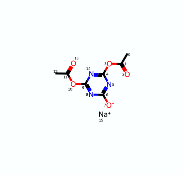 CC(=O)Oc1nc([O-])nc(OC(C)=O)n1.[Na+]